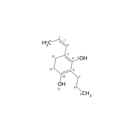 C/C=C\C1=C(O)C(CCC)=C(O)[CH]C1